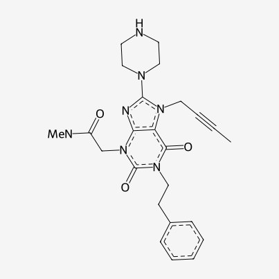 CC#CCn1c(N2CCNCC2)nc2c1c(=O)n(CCc1ccccc1)c(=O)n2CC(=O)NC